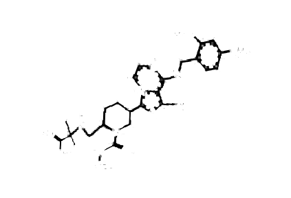 COC(=O)C(C)(C)NCC1CCC(c2nc(Br)c3c(NCc4ccc(OC)cc4OC)nccn23)CN1C(=O)OC(C)(C)C